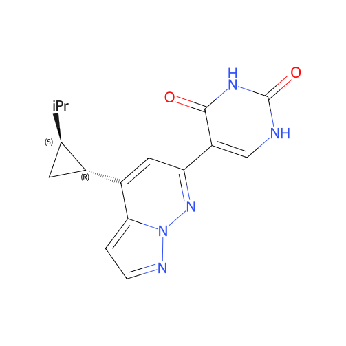 CC(C)[C@@H]1C[C@H]1c1cc(-c2c[nH]c(=O)[nH]c2=O)nn2nccc12